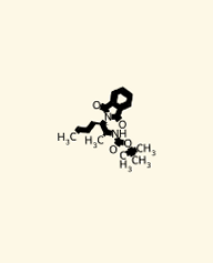 CCCC[C@H]([C@H](C)NC(=O)OC(C)(C)C)N1C(=O)c2ccccc2C1=O